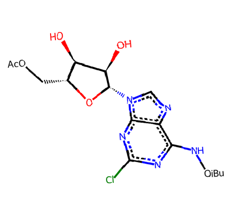 CC(=O)OC[C@H]1O[C@@H](n2cnc3c(NOCC(C)C)nc(Cl)nc32)[C@H](O)[C@@H]1O